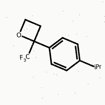 CC(C)c1ccc(C2(C(F)(F)F)CCO2)cc1